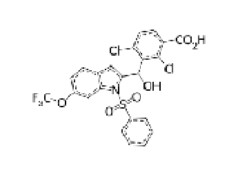 O=C(O)c1ccc(Cl)c(C(O)c2cc3ccc(OC(F)(F)F)cc3n2S(=O)(=O)c2ccccc2)c1Cl